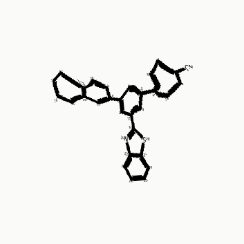 N#Cc1ccc(-c2cc(-c3ccc4ccccc4c3)cc(-c3nc4ccccc4s3)c2)cc1